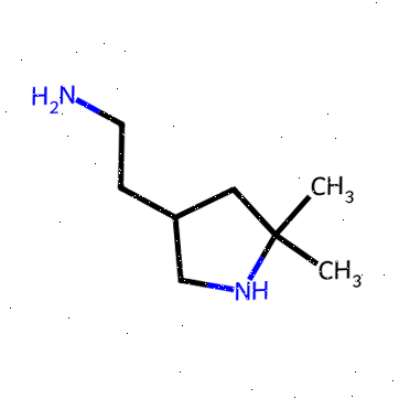 CC1(C)CC(CCN)CN1